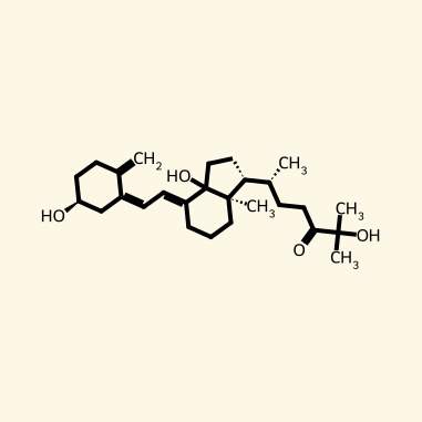 C=C1CC[C@H](O)C/C1=C/C=C1CCC[C@]2(C)[C@@H]([C@H](C)CCC(=O)C(C)(C)O)CCC12O